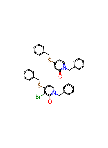 O=c1c(Br)c(SCc2ccccc2)ccn1Cc1ccccc1.O=c1cc(SCc2ccccc2)ccn1Cc1ccccc1